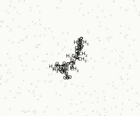 COCCCN(CCCC12CC3(Cn4ncc(-c5ccc(N6CCCc7c6nnc(Nc6nc8ccccc8s6)c7C)nc5C(=O)O)c4C)C[C@](C)(C1)C[C@](C)(C2)C3)C(=O)OCc1ccc(NC(=O)[C@H](CCCNC(N)=O)NC(=O)[C@@H](NC(=O)CCOCCN2C(=O)C=CC2=O)C(C)C)cc1